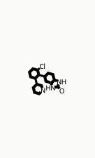 O=c1[nH]c2ccc(-c3c(Cl)cccc3-c3cccnc3)cc2[nH]1